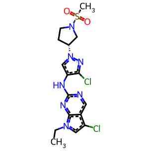 CCn1cc(Cl)c2cnc(Nc3cn([C@@H]4CCN(S(C)(=O)=O)C4)nc3Cl)nc21